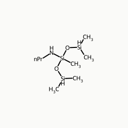 CCCN[Si](C)(O[SiH](C)C)O[SiH](C)C